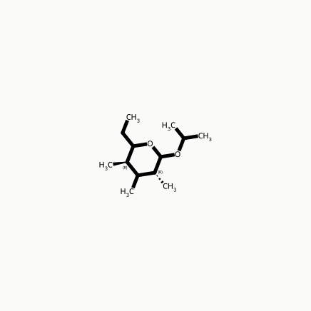 CCC1OC(OC(C)C)[C@H](C)C(C)[C@H]1C